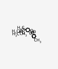 Cc1ccc(S(=O)(=O)OC2CCC(N(C)C(=O)OC(C)(C)C)CC2)cc1